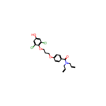 C=CCN(CC=C)C(=O)c1ccc(OCCCOc2c(Cl)cc(O)cc2Cl)cc1